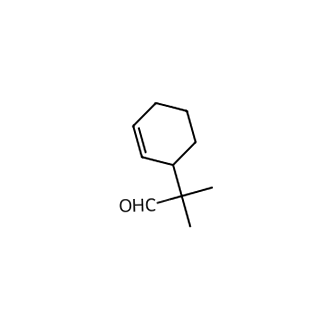 CC(C)(C=O)C1C=CCCC1